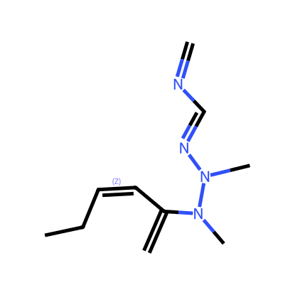 C=NC=NN(C)N(C)C(=C)/C=C\CC